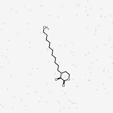 CCCCCCCCCCCCN1CCOC(=O)C1=O